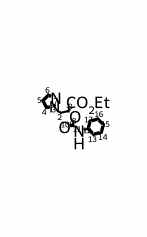 CCOC(=O)C(Cn1cccn1)OC(=O)Nc1ccccc1